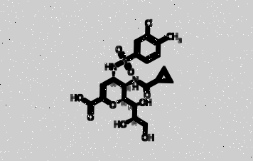 Cc1ccc(S(=O)(=O)N[C@H]2C=C(C(=O)O)O[C@@H]([C@H](O)[C@H](O)CO)[C@@H]2NC(=O)C2CC2)cc1Cl